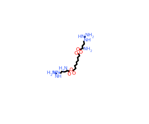 N=C(N)NCCC[C@H](N)C(=O)OC(=O)CCCCCCCC(=O)OC(=O)[C@@H](N)CCCNC(=N)N